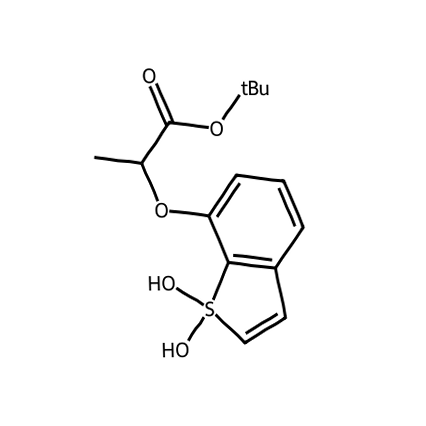 CC(Oc1cccc2c1S(O)(O)C=C2)C(=O)OC(C)(C)C